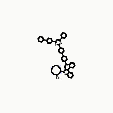 C=C1/C=C\C=C/C/C=C\C(c2nc3ccccc3c3c2cc(-c2ccc(-c4ccc(-c5nc(-c6ccccc6)cc(-c6ccc(-c7ccccc7)cc6)n5)cc4)cc2)c2ccccc23)=C/1